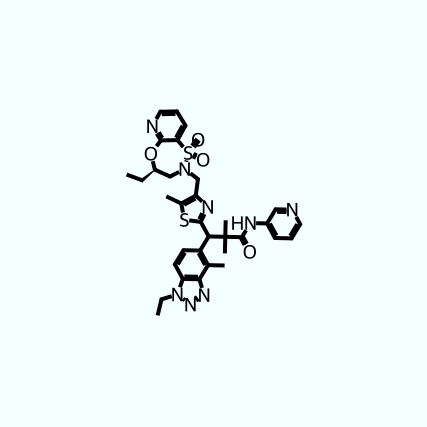 CC[C@@H]1CN(Cc2nc(C(c3ccc4c(nnn4CC)c3C)C(C)(C)C(=O)Nc3cccnc3)sc2C)S(=O)(=O)c2cccnc2O1